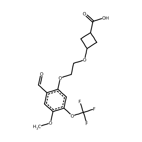 COc1cc(C=O)c(OCCOC2CC(C(=O)O)C2)cc1OC(F)(F)F